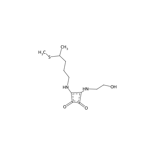 CSC(C)CCCNc1c(NCCO)c(=O)c1=O